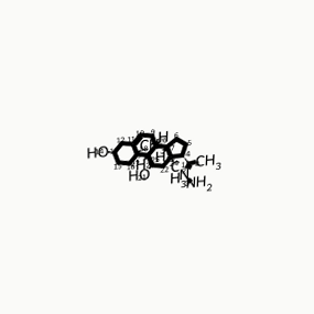 CC(=NN)[C@H]1CC[C@H]2[C@@H]3CC=C4C[C@@H](O)CC[C@]4(C)[C@H]3[C@@H](O)C[C@]12C